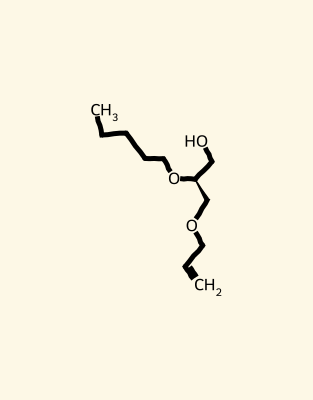 C=CCOC[C@H](CO)OCCCCC